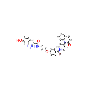 NC(Cc1ccc(O)cc1)C(=O)NCCCOc1ccc(C(=O)N2CCC(N3C(=O)CCc4ccccc43)CC2)cc1